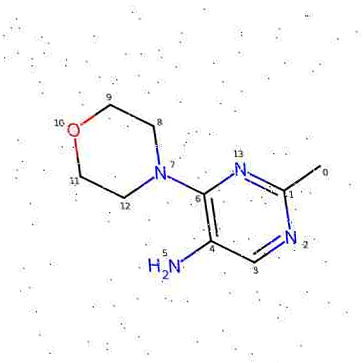 Cc1ncc(N)c(N2CCOCC2)n1